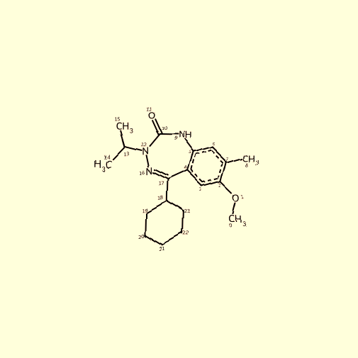 COc1cc2c(cc1C)NC(=O)N(C(C)C)N=C2C1CCCCC1